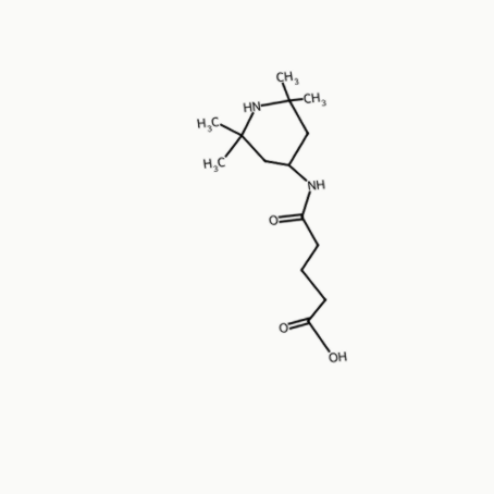 CC1(C)CC(NC(=O)CCCC(=O)O)CC(C)(C)N1